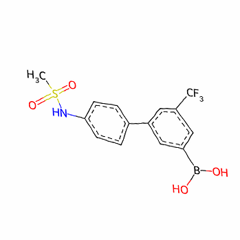 CS(=O)(=O)Nc1ccc(-c2cc(B(O)O)cc(C(F)(F)F)c2)cc1